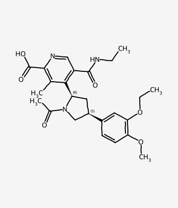 CCNC(=O)c1cnc(C(=O)O)c(C)c1[C@H]1C[C@@H](c2ccc(OC)c(OCC)c2)CN1C(C)=O